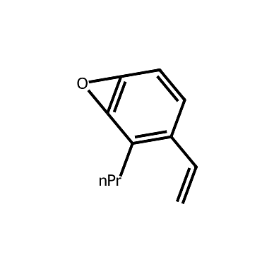 C=Cc1ccc2c(c1CCC)O2